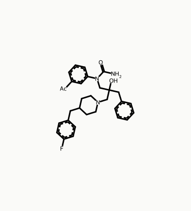 CC(=O)c1cccc(N(CC(O)(Cc2ccccc2)CN2CCC(Cc3ccc(F)cc3)CC2)C(N)=O)c1